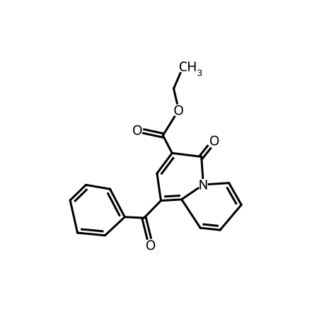 CCOC(=O)c1cc(C(=O)c2ccccc2)c2ccccn2c1=O